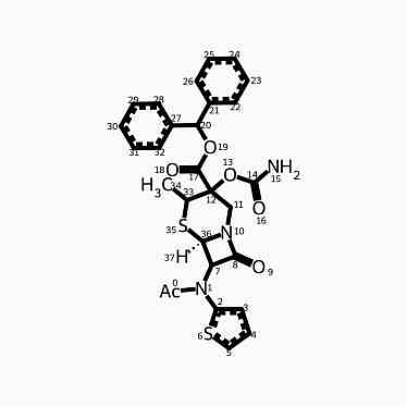 CC(=O)N(c1cccs1)C1C(=O)N2CC(OC(N)=O)(C(=O)OC(c3ccccc3)c3ccccc3)C(C)S[C@H]12